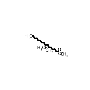 CCC.CCCCCCCCCCCCCCCC(=O)OC